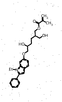 C=C(C)C(=O)OCC(CO)CCC(O)COc1ccc2cc(-c3ccccc3)n(CC)c2c1